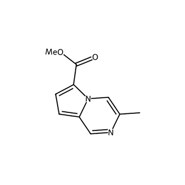 COC(=O)c1ccc2cnc(C)cn12